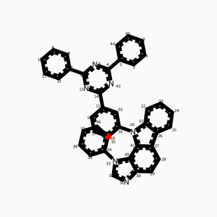 c1ccc(-c2nc(-c3ccccc3)nc(-c3cccc(-n4c5ccccc5c5ccc6ncn(-c7ccccc7)c6c54)c3)n2)cc1